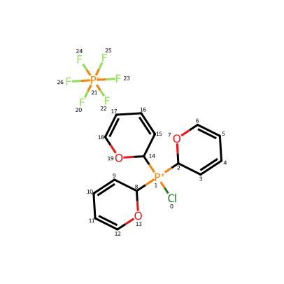 Cl[P+](C1C=CC=CO1)(C1C=CC=CO1)C1C=CC=CO1.F[P-](F)(F)(F)(F)F